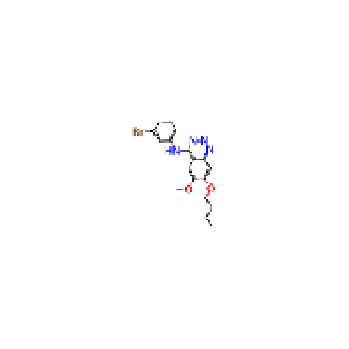 CCCCOc1cc2nnnc(Nc3cccc(Br)c3)c2cc1OC